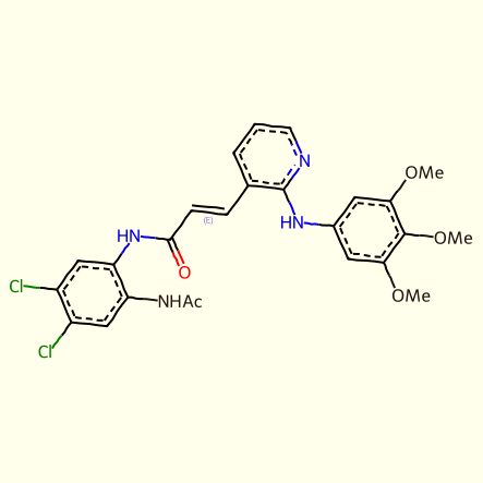 COc1cc(Nc2ncccc2/C=C/C(=O)Nc2cc(Cl)c(Cl)cc2NC(C)=O)cc(OC)c1OC